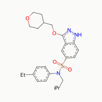 CCc1ccc(N(CC(C)C)S(=O)(=O)c2ccc3[nH]nc(OCC4CCOCC4)c3c2)cc1